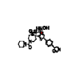 O=C(C[C@]1(c2ccc(-c3ccc(-c4cnco4)cc3)s2)CCN(C(=O)N2CCCCC2)CCS1(=O)=O)NO